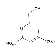 CC(=CC(OCCO)C(=O)O)C(=O)O